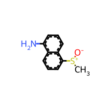 C[S+]([O-])c1cccc2c(N)cccc12